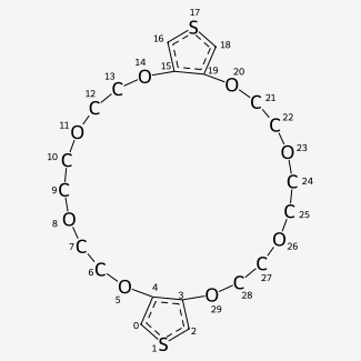 c1scc2c1OCCOCCOCCOc1cscc1OCCOCCOCCO2